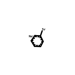 [Na+].[Te-]c1ccccc1